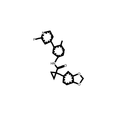 Cc1ccc(NC(=O)C2(c3ccc4c(c3)OCO4)CC2)cc1-c1ccnc(F)c1